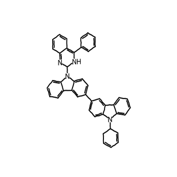 C1=CCC(n2c3ccccc3c3cc(-c4ccc5c(c4)c4ccccc4n5C4N=c5ccccc5=C(c5ccccc5)N4)ccc32)C=C1